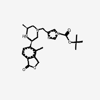 Cc1c([C@@H]2CN(Cc3cn(C(=O)OC(C)(C)C)cn3)C[C@H](C)N2)ccc2c1COC2=O